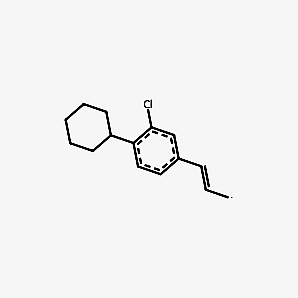 [CH2]C=Cc1ccc(C2CCCCC2)c(Cl)c1